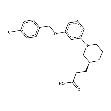 O=C(O)CC[C@H]1CN(c2cncc(OCc3ccc(Cl)cc3)c2)CCO1